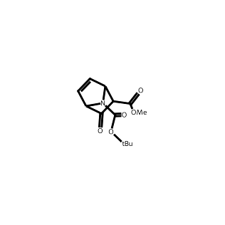 COC(=O)C1C(=O)C2C=CC1N2C(=O)OC(C)(C)C